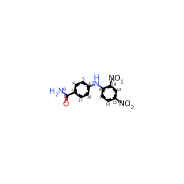 NC(=O)c1ccc(Nc2ccc([N+](=O)[O-])cc2[N+](=O)[O-])cc1